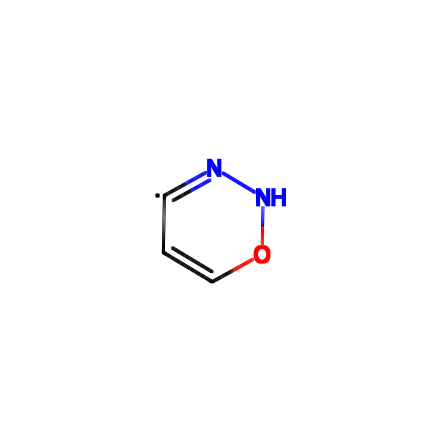 [C]1=NNOC=C1